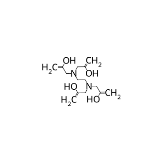 C=C(O)CN(CCN(CC(=C)O)CC(=C)O)CC(=C)O